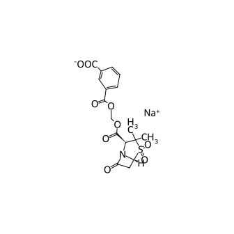 CC1(C)[C@H](C(=O)OCOC(=O)c2cccc(C(=O)[O-])c2)N2C(=O)C[C@H]2S1(=O)=O.[Na+]